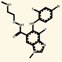 CNCCONC(=O)c1cc2c(ncn2C)c(F)c1Nc1ccc(Br)cc1F